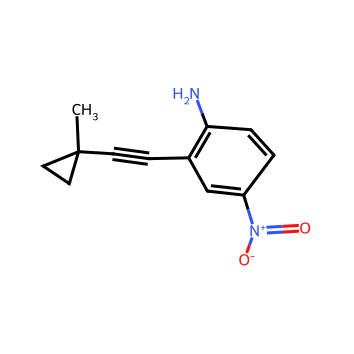 CC1(C#Cc2cc([N+](=O)[O-])ccc2N)CC1